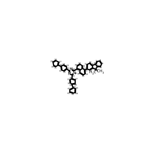 CC1(C)c2ccccc2-c2ccc(-c3cccc4c(-c5nc(-c6ccc(-c7ccccc7)cc6)nc(-c6ccc(-c7ccccc7)cc6)n5)cccc34)cc21